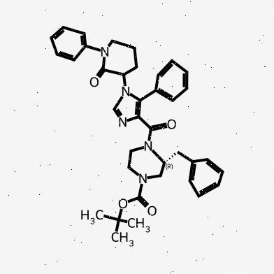 CC(C)(C)OC(=O)N1CCN(C(=O)c2ncn(C3CCCN(c4ccccc4)C3=O)c2-c2ccccc2)[C@H](Cc2ccccc2)C1